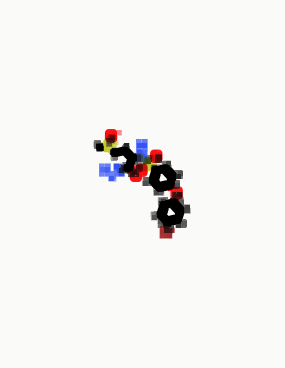 C[S+]([O-])CCC(NS(=O)(=O)c1ccc(Oc2ccc(Br)cc2)cc1)C(N)=O